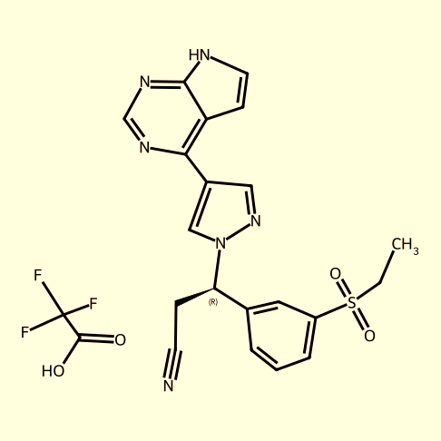 CCS(=O)(=O)c1cccc([C@@H](CC#N)n2cc(-c3ncnc4[nH]ccc34)cn2)c1.O=C(O)C(F)(F)F